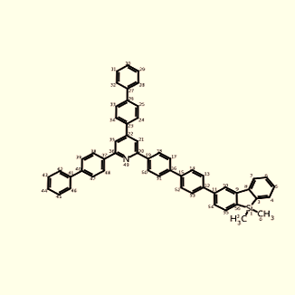 C[Si]1(C)c2ccccc2-c2cc(-c3ccc(-c4ccc(-c5cc(-c6ccc(-c7ccccc7)cc6)cc(-c6ccc(-c7ccccc7)cc6)n5)cc4)cc3)ccc21